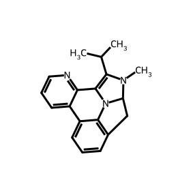 CC(C)C1=C2c3ncccc3-c3cccc4c3N2C(C4)N1C